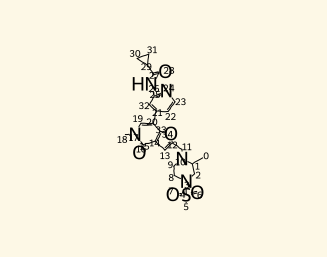 CC1CN(S(C)(=O)=O)CCN1Cc1cc2c(=O)n(C)cc(-c3ccnc(NC(=O)C4CC4)c3)c2o1